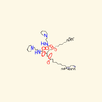 CCCCC/C=C\C/C=C\CCCCCCCC(=O)OCC(OC(=O)NCCCN1CCCCC1)C(COC(=O)CCCCCCCCCCCCCCCC)OC(=O)NCCCN1CCCCC1